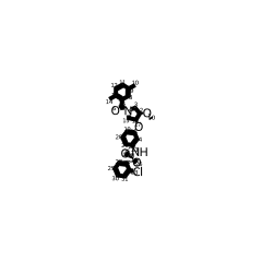 CO[C@@H]1CN(C(=O)c2cc(C)ccc2C)C[C@H]1Oc1cccc(NS(=O)(=O)c2ccccc2Cl)c1